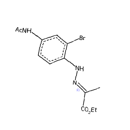 CCOC(=O)/C(C)=N/Nc1ccc(NC(C)=O)cc1Br